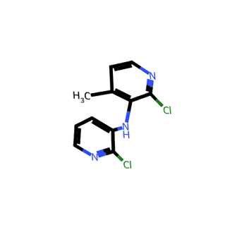 Cc1ccnc(Cl)c1Nc1cccnc1Cl